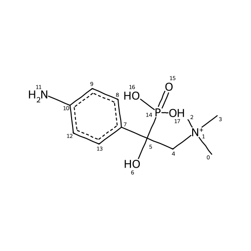 C[N+](C)(C)CC(O)(c1ccc(N)cc1)P(=O)(O)O